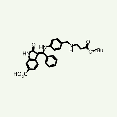 CC(C)(C)OC(=O)CCNCc1ccc(N/C(=C2\C(=O)Nc3cc(C(=O)O)ccc32)c2ccccc2)cc1